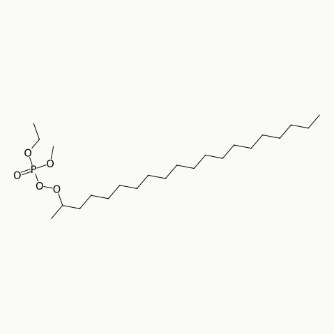 CCCCCCCCCCCCCCCCCCC(C)OOP(=O)(OC)OCC